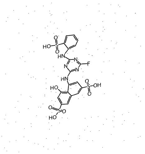 O=S(=O)(O)c1cc(O)c2c(Nc3nc(F)nc(Nc4ccccc4S(=O)(=O)O)n3)cc(S(=O)(=O)O)cc2c1